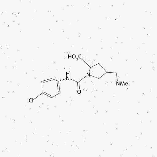 CNCC1CC(C(=O)O)N(C(=O)Nc2ccc(Cl)cc2)C1